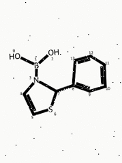 OB(O)N1C=CSC1c1ccccc1